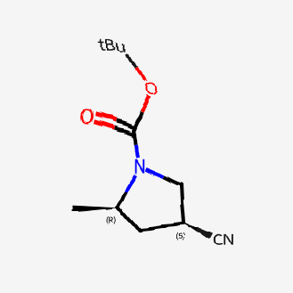 C[C@@H]1C[C@H](C#N)CN1C(=O)OC(C)(C)C